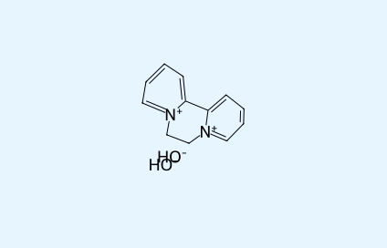 [OH-].[OH-].c1cc[n+]2c(c1)-c1cccc[n+]1CC2